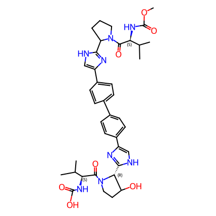 COC(=O)N[C@H](C(=O)N1CCCC1c1nc(-c2ccc(-c3ccc(-c4c[nH]c([C@@H]5C(O)CCN5C(=O)[C@@H](NC(=O)O)C(C)C)n4)cc3)cc2)c[nH]1)C(C)C